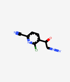 N#Cc1ccc(C(=O)C=[N+]=[N-])c(Cl)n1